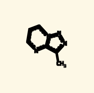 Cc1nnn2cccnc12